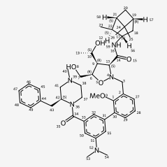 COc1c(CN2O[C@@H](CO)[C@@H]([C@H](C)O)[C@H]2C(=O)N[C@H]2C[C@H]3C[C@@H]([C@@H]2C)C3(C)C)cccc1-c1cc(C(=O)N2CCN(C)C[C@@H]2Cc2ccccc2)cc(N(C)C)c1